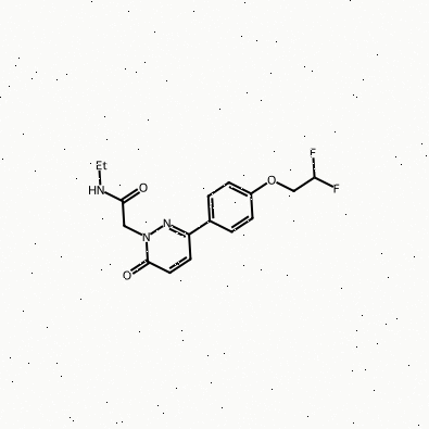 CCNC(=O)Cn1nc(-c2ccc(OCC(F)F)cc2)ccc1=O